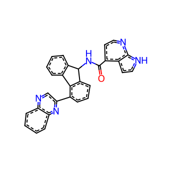 O=C(NC1c2ccccc2-c2c(-c3cnc4ccccc4n3)cccc21)c1ccnc2[nH]ccc12